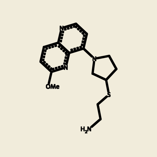 COc1ccc2nccc(N3CCC(SCCN)C3)c2n1